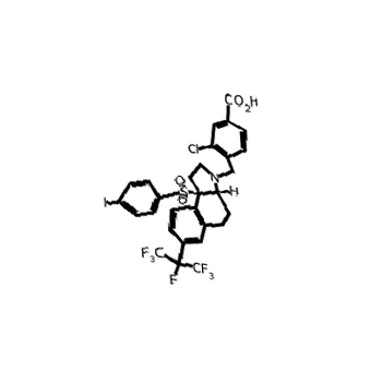 O=C(O)c1ccc(CN2CC[C@@]3(S(=O)(=O)c4ccc(I)cc4)c4ccc(C(F)(C(F)(F)F)C(F)(F)F)cc4CC[C@@H]23)c(Cl)c1